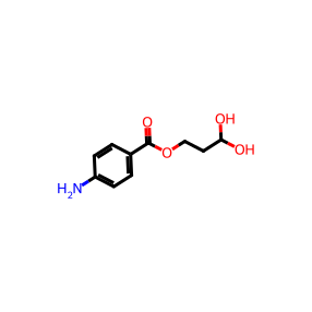 Nc1ccc(C(=O)OCCC(O)O)cc1